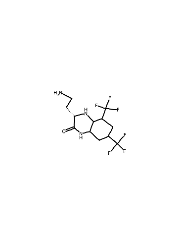 NCC[C@@H]1NC2C(CC(C(F)(F)F)CC2C(F)(F)F)NC1=O